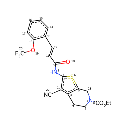 CCOC(=O)N1CCc2c(sc(NC(=O)/C=C/c3ccccc3OC(F)(F)F)c2C#N)C1